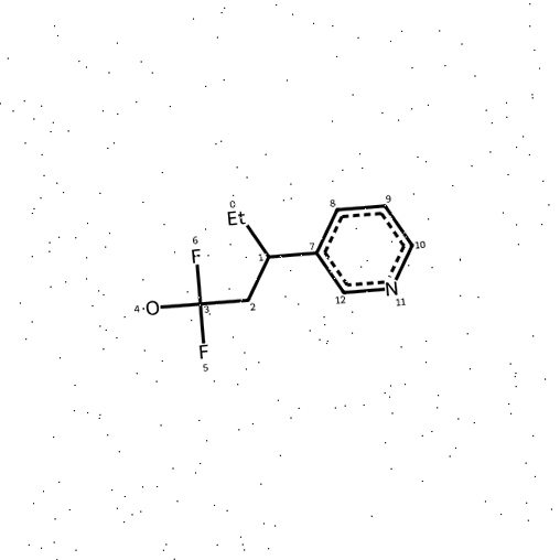 CCC(CC([O])(F)F)c1cccnc1